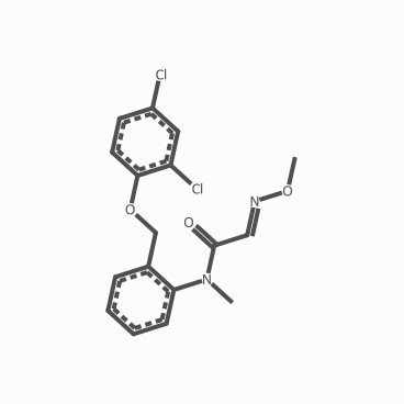 CON=CC(=O)N(C)c1ccccc1COc1ccc(Cl)cc1Cl